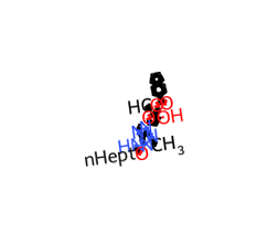 C#C[C@]1(COC(=O)C2CCC3(CCCC3)CC2)O[C@@H](n2cnc3c(NC(=O)CCCCCCC)nc(C)nc32)C[C@@H]1O